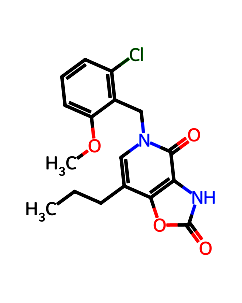 CCCc1cn(Cc2c(Cl)cccc2OC)c(=O)c2[nH]c(=O)oc12